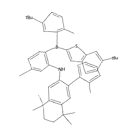 Cc1ccc(B(c2cc3ccc(C(C)(C)C)cc3s2)c2cc(C(C)(C)C)ccc2C)c(Nc2cc3c(cc2-c2ccccc2C)C(C)(C)CCC3(C)C)c1